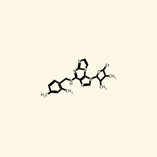 CCC1OC(n2cnc3c(NCc4ccc(C)cc4C)nc4nccn4c32)C(C)C1C